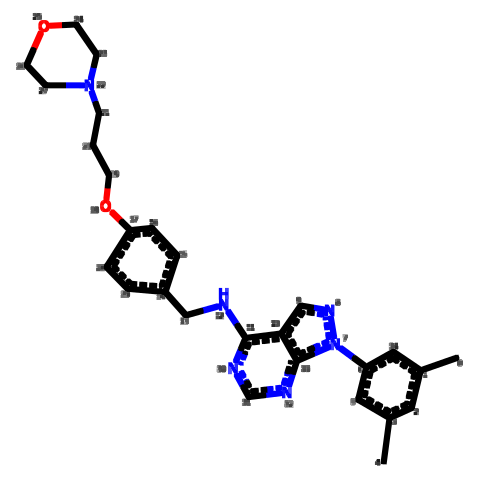 Cc1cc(C)cc(-n2ncc3c(NCc4ccc(OCCCN5CCOCC5)cc4)ncnc32)c1